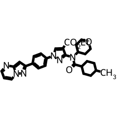 CCOC(=O)c1cn(-c2ccc(-c3cc4ncccn4n3)cc2)nc1N(C(=O)C1CCC(C)CC1)C1CCOCC1